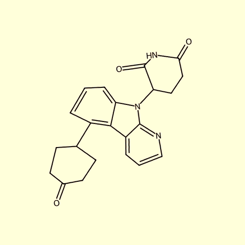 O=C1CCC(c2cccc3c2c2cccnc2n3C2CCC(=O)NC2=O)CC1